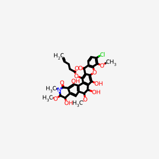 C=CCCC(=O)Oc1c2c(c(O)c3oc4c(OC)c(Cl)ccc4c(=O)c13)C(O)C(OC)c1cc3c(c(O)c1-2)C(=O)N(C)C(OC)C3O